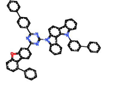 c1ccc(-c2ccc(-c3nc(-c4ccc5c(c4)oc4cccc(-c6ccccc6)c45)nc(-n4c5ccccc5c5c4ccc4c6ccccc6n(-c6cccc(-c7ccccc7)c6)c45)n3)cc2)cc1